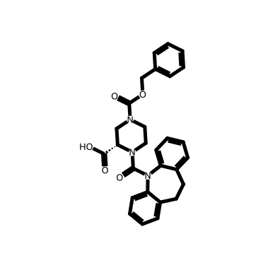 O=C(O)[C@@H]1CN(C(=O)OCc2ccccc2)CCN1C(=O)N1c2ccccc2CCc2ccccc21